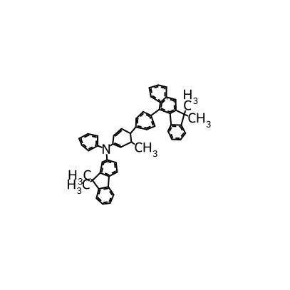 CC1C=C(N(c2ccccc2)c2ccc3c(c2)C(C)(C)c2ccccc2-3)C=CC1c1ccc(-c2c3c(cc4ccccc24)C(C)(C)c2ccccc2-3)cc1